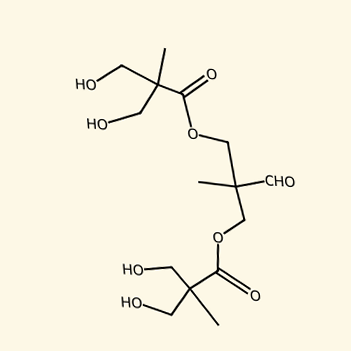 CC(C=O)(COC(=O)C(C)(CO)CO)COC(=O)C(C)(CO)CO